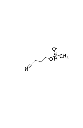 C[SiH]([O])OCCCC#N